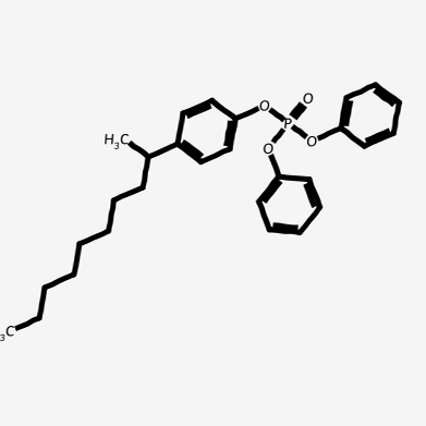 CCCCCCCCC(C)c1ccc(OP(=O)(Oc2ccccc2)Oc2ccccc2)cc1